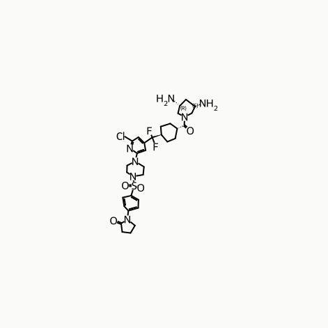 N[C@@H]1C[C@H](N)CN(C(=O)[C@H]2CC[C@H](C(F)(F)c3cc(Cl)nc(N4CCN(S(=O)(=O)c5ccc(N6CCCC6=O)cc5)CC4)c3)CC2)C1